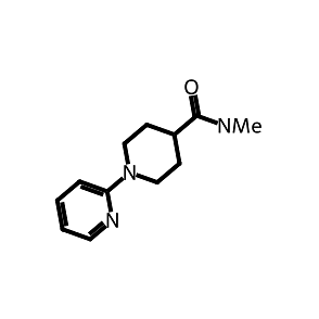 CNC(=O)C1CCN(c2ccccn2)CC1